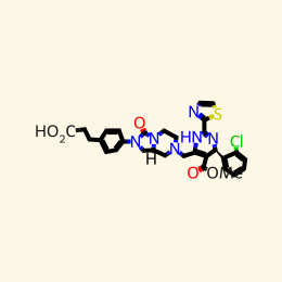 COC(=O)C1=C(CN2CCN3C(=O)N(c4ccc(CCC(=O)O)cc4)C[C@@H]3C2)NC(c2nccs2)=N[C@H]1c1ccccc1Cl